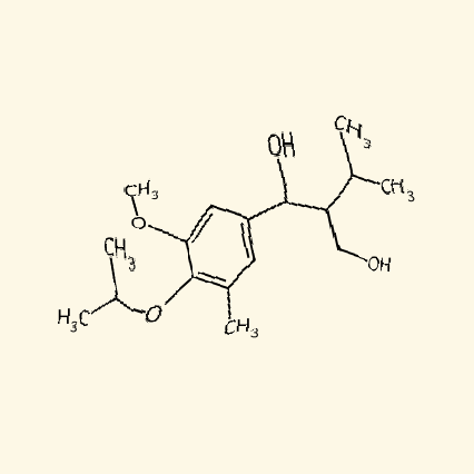 COc1cc(C(O)C(CO)C(C)C)cc(C)c1OC(C)C